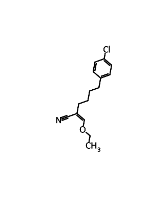 CCOC=C(C#N)CCCCc1ccc(Cl)cc1